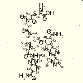 CCn1nc(C)cc1C(=O)Nc1nc2cc(C(N)=O)cnc2n1CCCCn1c2nc(-c3cc(C)nn3CC)ncc2c2cc(C(N)=O)cc(OCCC3CN(C(=O)CCN4C(=O)CC(SC[C@H](N)C(=O)O)C4=O)C3)c21